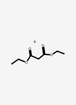 CCOC(=O)CC(=O)OCC.[K]